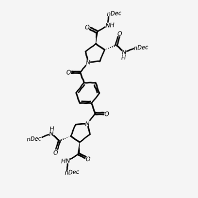 CCCCCCCCCCNC(=O)[C@@H]1CN(C(=O)c2ccc(C(=O)N3C[C@@H](C(=O)NCCCCCCCCCC)[C@H](C(=O)NCCCCCCCCCC)C3)cc2)C[C@H]1C(=O)NCCCCCCCCCC